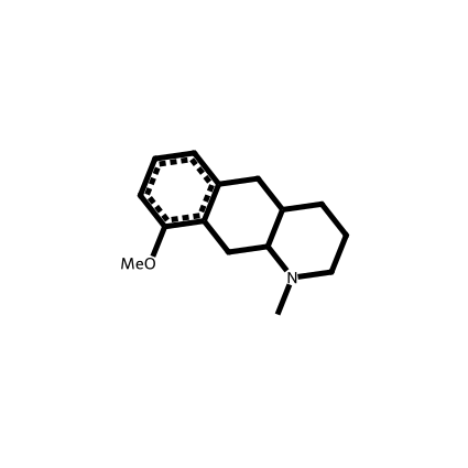 COc1cccc2c1CC1C(CCCN1C)C2